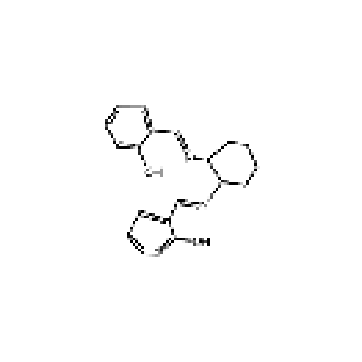 Oc1ccccc1C=NC1CCCC[C@@H]1N=Cc1ccccc1O